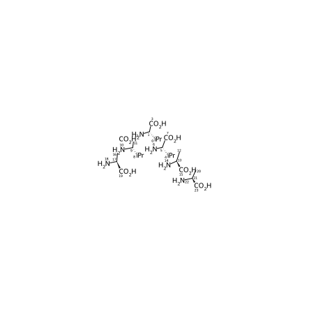 CC(C)[C@H](N)C(=O)O.CC(C)[C@H](N)C(=O)O.CC(C)[C@H](N)C(=O)O.C[C@H](N)C(=O)O.C[C@H](N)C(=O)O.C[C@H](N)C(=O)O